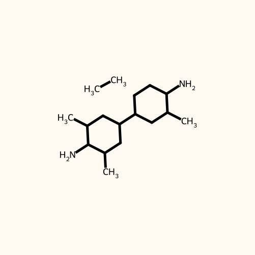 CC.CC1CC(C2CC(C)C(N)C(C)C2)CCC1N